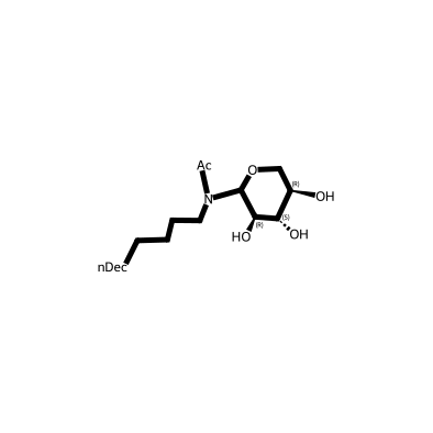 CCCCCCCCCCCCCCN(C(C)=O)C1OC[C@@H](O)[C@H](O)[C@H]1O